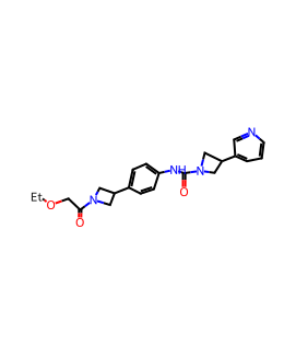 CCOCC(=O)N1CC(c2ccc(NC(=O)N3CC(c4cccnc4)C3)cc2)C1